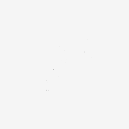 CCCCCN(Cc1nccc2c3ccccc3n(CC(=O)OC(C)(C)C)c12)C1CCCc2cccnc21